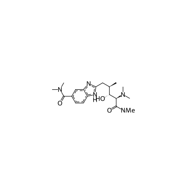 CNC(=O)[C@@H]([C@H](O)[C@H](C)Cc1nc2cc(C(=O)N(C)C)ccc2[nH]1)N(C)C